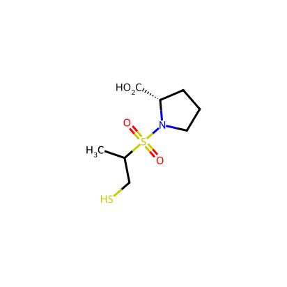 CC(CS)S(=O)(=O)N1CCC[C@H]1C(=O)O